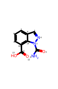 NC(=O)n1ncc2cccc(C(=O)O)c21